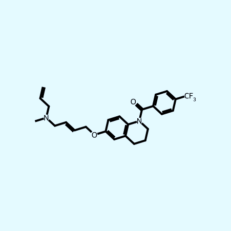 C=CCN(C)CC=CCOc1ccc2c(c1)CCCN2C(=O)c1ccc(C(F)(F)F)cc1